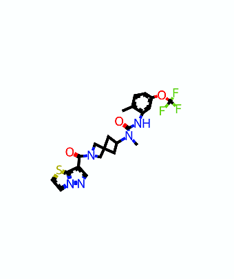 Cc1ccc(OC(F)(F)F)cc1NC(=O)N(C)C1CC2(C1)CN(C(=O)c1cnn3ccsc13)C2